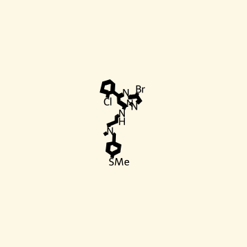 CSc1ccc(CN(C)CCCNc2cc(-c3ccccc3Cl)nc3c(Br)cnn23)cc1